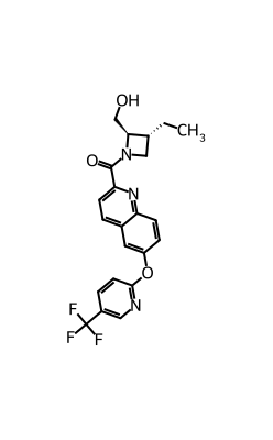 CC[C@@H]1CN(C(=O)c2ccc3cc(Oc4ccc(C(F)(F)F)cn4)ccc3n2)[C@H]1CO